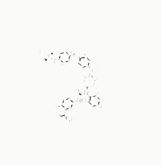 CCS(=O)(=O)Nc1ccc(Oc2ccc(CN3CCC(N(C(=O)Nc4ccc(F)c(C(N)=O)c4)c4ccccc4)CC3)cn2)cc1